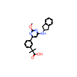 COc1nc(NC2Cc3ccccc3C2)cc(-c2cccc(C(C)(C)C(=O)O)c2)n1